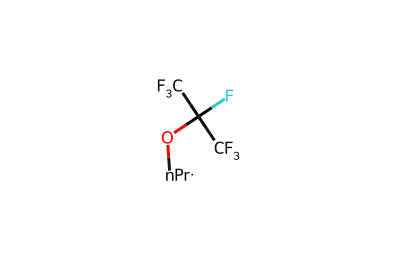 CC[CH]OC(F)(C(F)(F)F)C(F)(F)F